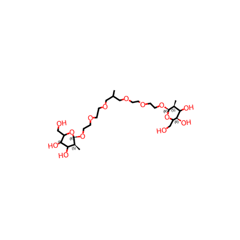 CC(COCCOCCO[C@@H]1OC(CO)[C@H](O)C(O)[C@@H]1C)COCCOCCO[C@@H]1OC(CO)[C@H](O)C(O)[C@@H]1C